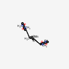 CCCCCCCCC1(CCCCCCCC)c2cc(CCCCCCCCc3ccc4c(c3)c(=O)c3cc5c(cc3n4C)c(=O)c3ccccc3n5C)c(C)cc2-c2cc(C)c(CCCCCCCCc3ccc4c(=O)c5cc6c(cc5n(C)c4c3)c(=O)c3ccccc3n6C)cc21